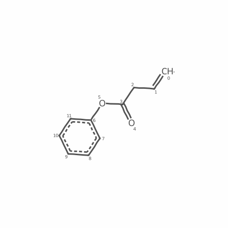 [CH]=CCC(=O)Oc1ccccc1